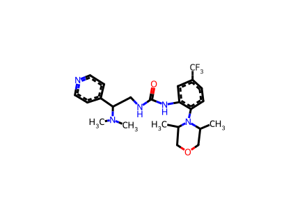 CC1COCC(C)N1c1ccc(C(F)(F)F)cc1NC(=O)NCC(c1ccncc1)N(C)C